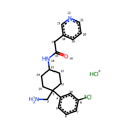 Cl.NCC1(c2cccc(Cl)c2)CCC(NC(=O)Cc2cccnc2)CC1